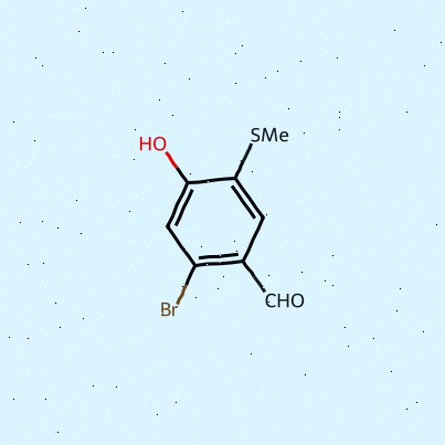 CSc1cc(C=O)c(Br)cc1O